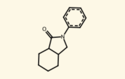 O=C1C2CCCCC2CN1c1ccccc1